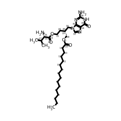 CCCCCCCCCCCCCCCC(=O)OC[C@H](CCOC(=O)[C@@H](N)C(C)C)Cn1cnc2c(=O)[nH]c(N)nc21